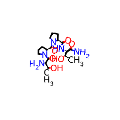 C[C@@H](O)[C@H](NC(=O)[C@@H]1CCCN1C(=O)[C@@H]1CCCN1C(=O)[C@H](N)[C@@H](C)O)C(N)=O